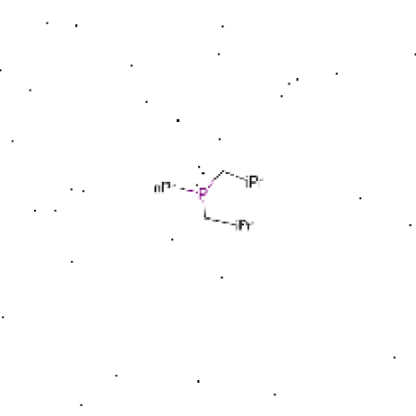 CCCP(CC(C)C)CC(C)C